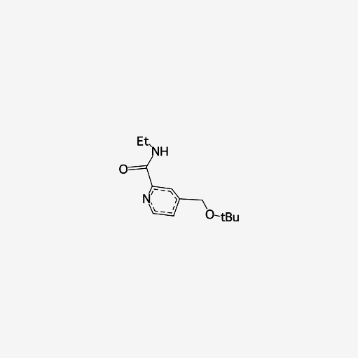 CCNC(=O)c1cc(COC(C)(C)C)ccn1